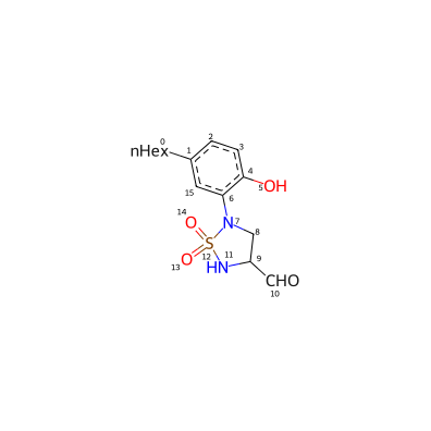 CCCCCCc1ccc(O)c(N2CC(C=O)NS2(=O)=O)c1